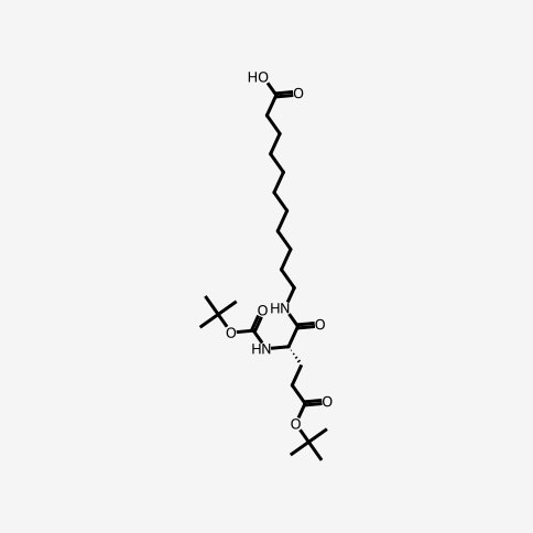 CC(C)(C)OC(=O)CC[C@H](NC(=O)OC(C)(C)C)C(=O)NCCCCCCCCCCC(=O)O